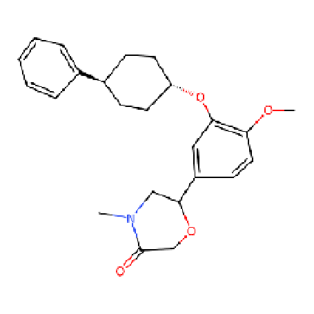 COc1ccc(C2CN(C)C(=O)CO2)cc1O[C@H]1CC[C@H](c2ccccc2)CC1